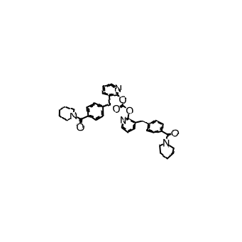 O=C(Oc1ncccc1Cc1ccc(C(=O)N2CCCCC2)cc1)Oc1ncccc1Cc1ccc(C(=O)N2CCCCC2)cc1